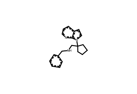 c1ccc(CNCC2(n3ccc4cccnc43)CCCC2)cc1